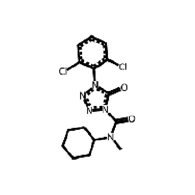 CN(C(=O)n1nnn(-c2c(Cl)cccc2Cl)c1=O)C1CCCCC1